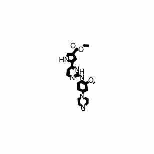 CCOC(=O)c1c[nH]c(-c2ccnc(Nc3ccc(N4CCN(C)CC4)cc3OC)n2)c1